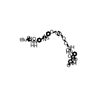 CC(C)(C)c1cc(NC(=O)Nc2ccc(-c3cn4c(n3)sc3cc(OCCN5CCN(CCOCCOCCNC(=O)CNc6cccc7c6C(=O)N(C6CCC(=O)NC6=O)C7=O)CC5)ccc34)cc2)no1